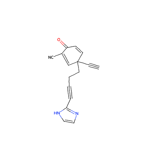 C#CC1(CCC#Cc2ncc[nH]2)C=CC(=O)C(C#N)=C1